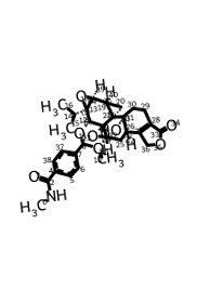 CNC(=O)c1ccc(C(OC)O[C@@H]2[C@@]3(C(C)C)O[C@H]3[C@@H]3C[C@]34[C@]23O[C@H]3C[C@H]2C3=C(CC[C@@]24O)C(=O)OC3)cc1